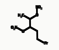 CC(C)CCC(O[N+](=O)[O-])C(C)O[N+](=O)[O-]